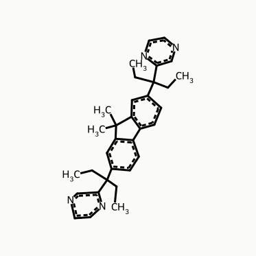 CCC(CC)(c1ccc2c(c1)C(C)(C)c1cc(C(CC)(CC)c3cnccn3)ccc1-2)c1cnccn1